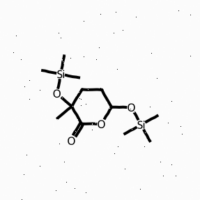 CC1(O[Si](C)(C)C)CCC(O[Si](C)(C)C)OC1=O